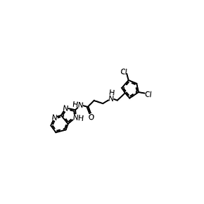 O=C(CCNCc1cc(Cl)cc(Cl)c1)Nc1nc2ncccc2[nH]1